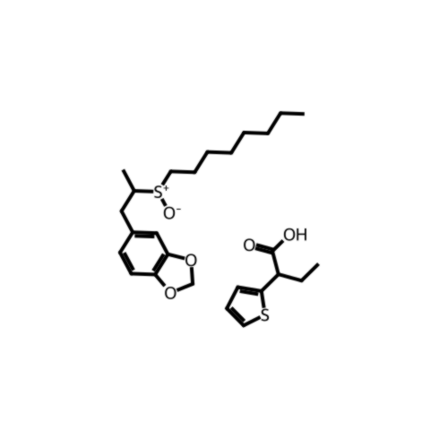 CCC(C(=O)O)c1cccs1.CCCCCCCC[S+]([O-])C(C)Cc1ccc2c(c1)OCO2